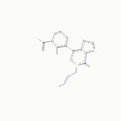 CC=CCn1cc(-c2cccc(C(N)=O)c2F)c2cc[nH]c2c1=O